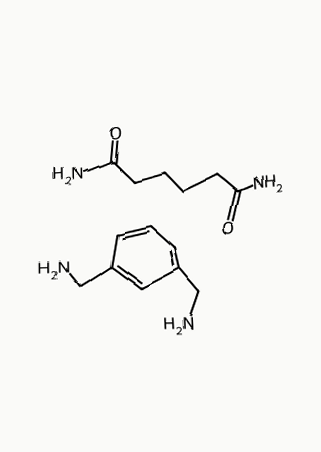 NC(=O)CCCCC(N)=O.NCc1cccc(CN)c1